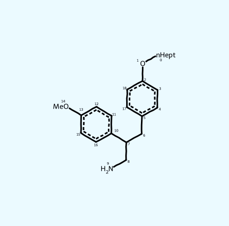 CCCCCCCOc1ccc(CC(CN)c2ccc(OC)cc2)cc1